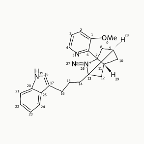 COc1cccnc1C12C[C@H]3C[C@@H]1CC3(CCCc1c[nH]c3ccccc13)[N+]2=[N-]